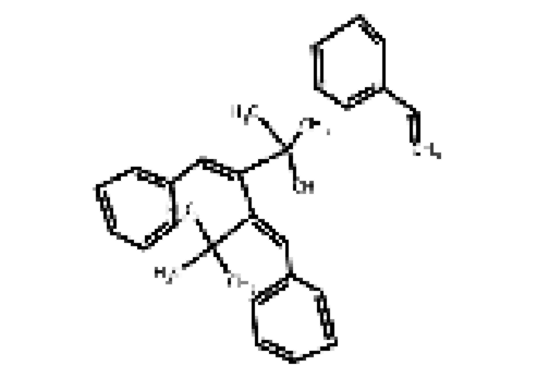 C=Cc1ccccc1.CC(C)(C)C(=Cc1ccccc1)C(=Cc1ccccc1)C(C)(C)C